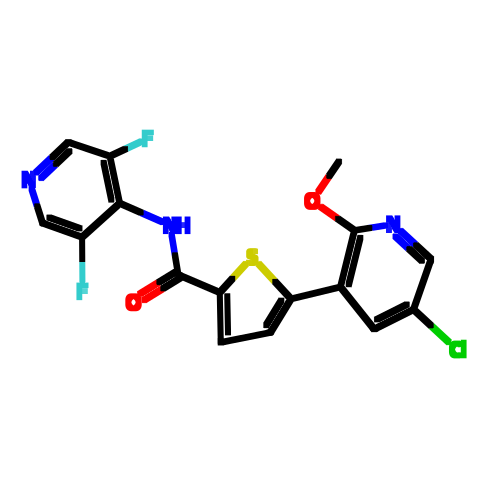 COc1ncc(Cl)cc1-c1ccc(C(=O)Nc2c(F)cncc2F)s1